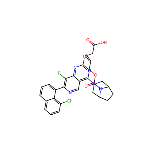 C=CCOC(=O)N1C2CCC1CN(c1nc(OCC(=O)O)nc3c(F)c(-c4cccc5cccc(Cl)c45)ncc13)C2